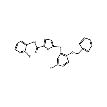 O=C(Nc1ccccc1F)c1ccc(Cc2cc(Cl)ccc2OCc2ccccc2)o1